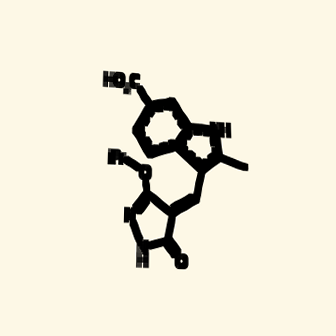 Cc1[nH]c2cc(C(=O)O)ccc2c1C=C1C(=O)NN=C1OC(C)C